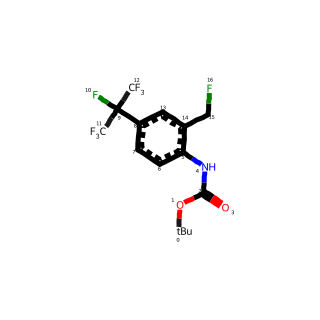 CC(C)(C)OC(=O)Nc1ccc(C(F)(C(F)(F)F)C(F)(F)F)cc1CF